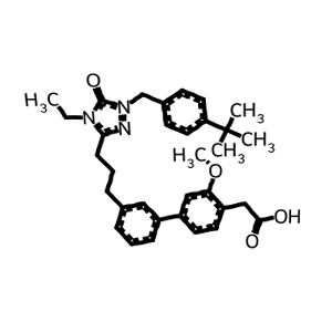 CCn1c(CCCc2cccc(-c3ccc(CC(=O)O)c(OC)c3)c2)nn(Cc2ccc(C(C)(C)C)cc2)c1=O